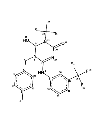 Cc1ccc(CN2C(Nc3cccc(C(F)(F)F)c3)=NC(=O)N(C(C)(C)C)C2O)cc1